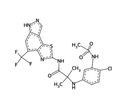 CC(C)(Nc1ccc(Cl)c(NS(C)(=O)=O)c1)C(=O)Nc1nc2c(C(F)(F)F)cc3[nH]ncc3c2s1